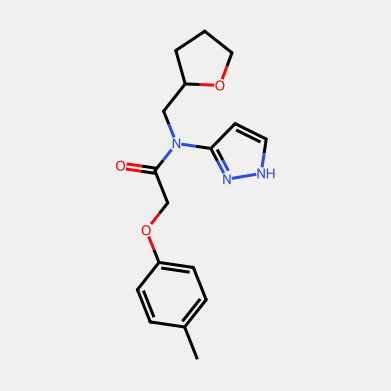 Cc1ccc(OCC(=O)N(CC2CCCO2)c2cc[nH]n2)cc1